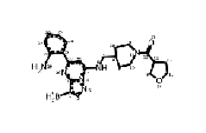 Bc1cnn2c(NCC3CCN(C(=O)C4CCOC4)CC3)cc(-c3ccccc3N)nc12